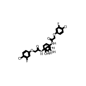 O=C(COc1ccc(Cl)c(F)c1)NC12CCC(NC(=O)COc3ccc(Cl)c(F)c3)(CC1)[C@@H](O)[C@@H]2O